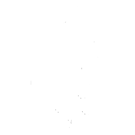 OCc1nnnn1CCCc1ccccc1